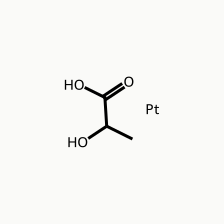 CC(O)C(=O)O.[Pt]